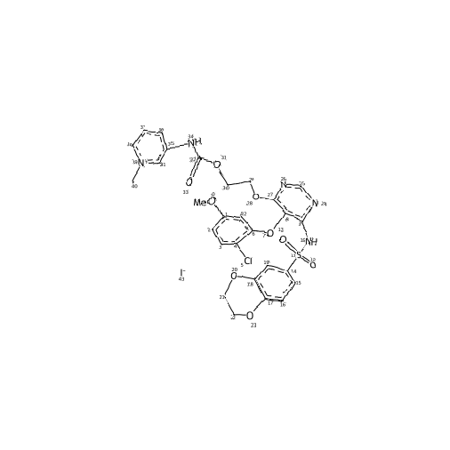 COc1ccc(Cl)c(Oc2c(NS(=O)(=O)c3ccc4c(c3)OCCO4)ncnc2OCCOC(=O)Nc2ccc[n+](C)c2)c1.[I-]